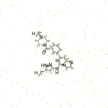 Cc1cc(Nc2nc(-c3cccc(C(=O)N4CCN(C)CC4)c3)cc3nccn23)n[nH]1